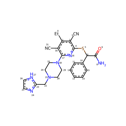 CCc1c(C#N)c(SC(C(N)=O)c2ccccc2)nc(N2CCN(Cc3ncc[nH]3)CC2)c1C#N